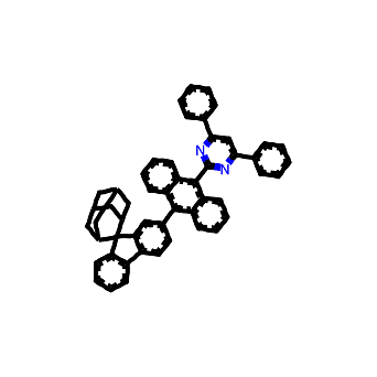 c1ccc(-c2cc(-c3ccccc3)nc(-c3c4ccccc4c(-c4ccc5c(c4)C4(c6ccccc6-5)C5CC6CC(C5)CC4C6)c4ccccc34)n2)cc1